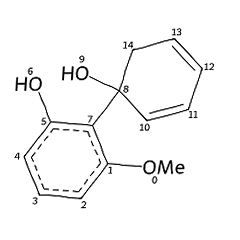 COc1cccc(O)c1C1(O)C=CC=CC1